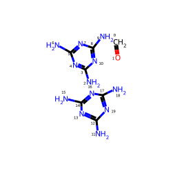 C=O.Nc1nc(N)nc(N)n1.Nc1nc(N)nc(N)n1